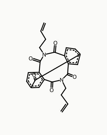 C=CCCN1C(=O)c2ccc3cc2C(=O)N(CCC=C)C(=O)c2cc(ccc2C1=O)C3=O